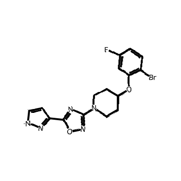 Fc1ccc(Br)c(OC2CCN(c3noc(C4=N[N]C=C4)n3)CC2)c1